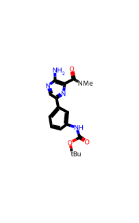 CNC(=O)c1nc(-c2cccc(NC(=O)OC(C)(C)C)c2)cnc1N